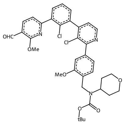 COc1cc(-c2nccc(-c3cccc(-c4ccc(C=O)c(OC)n4)c3Cl)c2Cl)ccc1CN(C(=O)OC(C)(C)C)C1CCOCC1